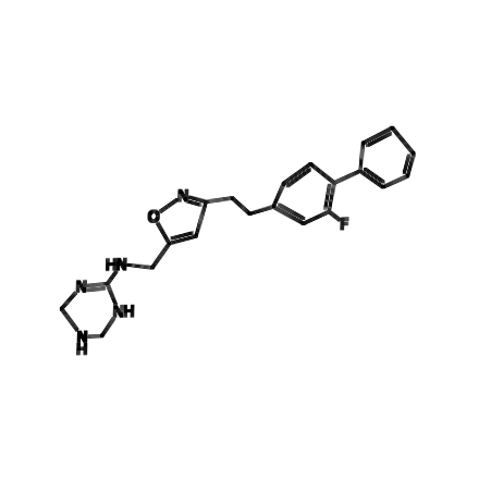 Fc1cc(CCc2cc(CNC3=NCNCN3)on2)ccc1-c1ccccc1